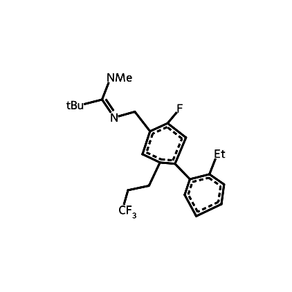 CCc1ccccc1-c1cc(F)c(C/N=C(\NC)C(C)(C)C)cc1CCC(F)(F)F